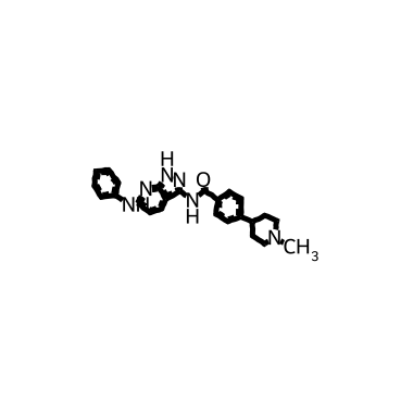 CN1CCC(c2ccc(C(=O)Nc3n[nH]c4nc(Nc5ccccc5)ccc34)cc2)CC1